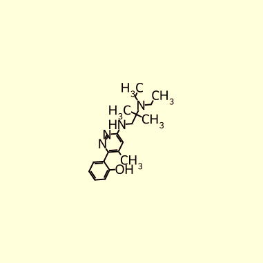 CCN(CC)C(C)(C)CNc1cc(C)c(-c2ccccc2O)nn1